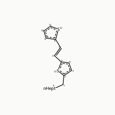 CCCCCCCCc1ccc(/C=C/c2cccs2)s1